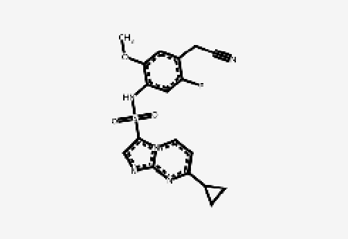 COc1cc(CC#N)c(F)cc1NS(=O)(=O)c1cnc2nc(C3CC3)ccn12